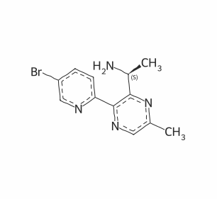 Cc1cnc(-c2ccc(Br)cn2)c([C@H](C)N)n1